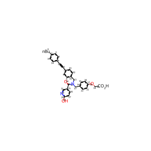 CCCCc1ccc(C#Cc2ccc(CN(Cc3ccc(OCC(=O)O)cc3)C(=O)c3ccc(O)nc3)cc2)cc1